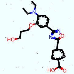 CCN(CC)c1ccc(-c2noc(-c3ccc(C(=O)O)cc3)n2)cc1OCCCO